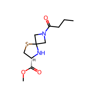 CCCC(=O)N1CC2(C1)N[C@H](C(=O)OC)CS2